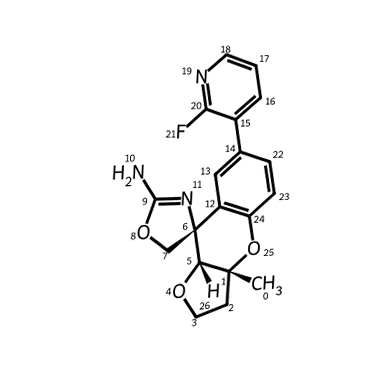 C[C@@]12CCO[C@@H]1[C@@]1(COC(N)=N1)c1cc(-c3cccnc3F)ccc1O2